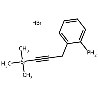 Br.C[Si](C)(C)C#CCc1ccccc1P